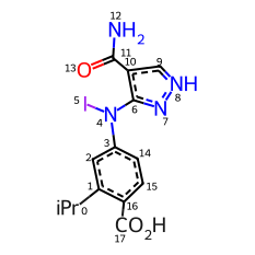 CC(C)c1cc(N(I)c2n[nH]cc2C(N)=O)ccc1C(=O)O